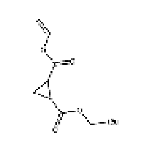 C=COC(=O)C1CC1C(=O)OCC(C)(C)C